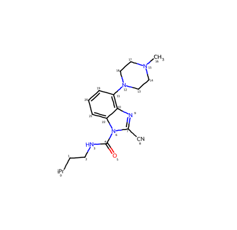 CC(C)CCNC(=O)n1c(C#N)nc2c(N3CCN(C)CC3)cccc21